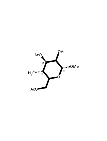 CO[C@@H]1OC(COC(C)=O)[C@H](C)[C@@H](OC(C)=O)C1OC(C)=O